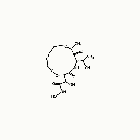 CC(C)C1NC(=O)C(C(O)C(=O)NO)OCCCCCCCN(C)C1=O